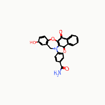 NC(=O)c1ccc(N2Cc3cc(O)ccc3OC3=C2C(=O)c2ccccc2C3=O)cc1